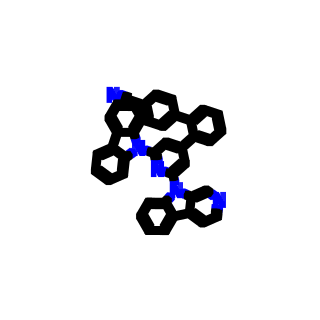 N#Cc1ccc(-c2ccccc2-c2cc(-n3c4ccccc4c4ccccc43)nc(-n3c4ccccc4c4ccncc43)c2)cc1